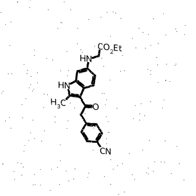 CCOC(=O)CNc1ccc2c(C(=O)Cc3ccc(C#N)cc3)c(C)[nH]c2c1